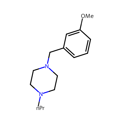 C[CH]CN1CCN(Cc2cccc(OC)c2)CC1